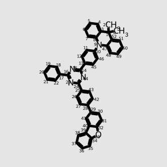 CC1(C)c2ccccc2N(c2ccc(-c3nc(-c4ccccc4)nc(-c4ccc(-c5ccc6oc7ccccc7c6c5)cc4)n3)cc2)c2ccccc21